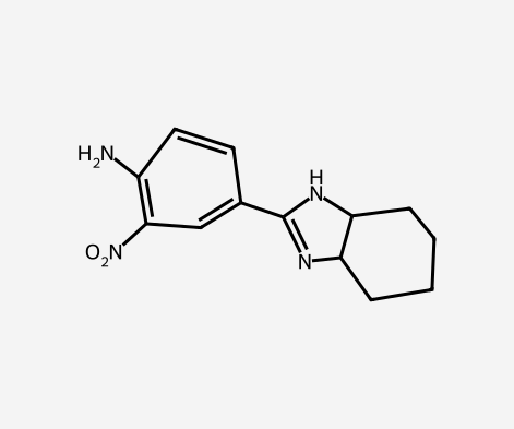 Nc1ccc(C2=NC3CCCCC3N2)cc1[N+](=O)[O-]